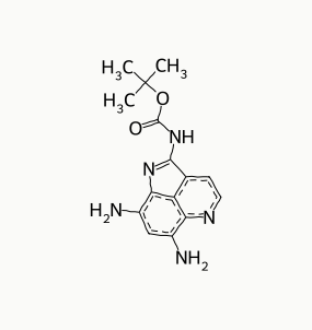 CC(C)(C)OC(=O)NC1=Nc2c(N)cc(N)c3nccc1c23